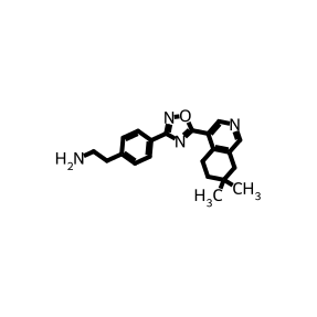 CC1(C)CCc2c(cncc2-c2nc(-c3ccc(CCN)cc3)no2)C1